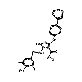 Cc1cc(CNc2[nH]nc(Nc3ccc(-c4ccccc4)cc3)c2C(N)=O)cc(C)c1O